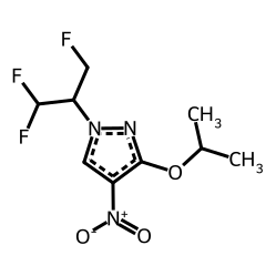 CC(C)Oc1nn(C(CF)C(F)F)cc1[N+](=O)[O-]